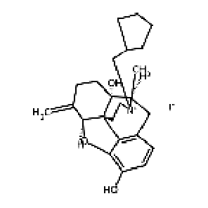 C=C1CC[C@@]2(O)[C@H]3Cc4ccc(O)c5c4[C@]2(CC[N+]3(C)CC2CCCC2)[C@H]1O5.[I-]